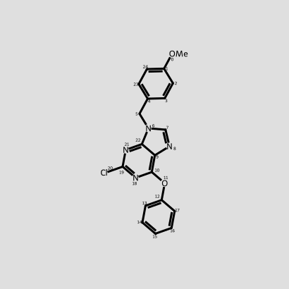 COc1ccc(Cn2cnc3c(Oc4ccccc4)nc(Cl)nc32)cc1